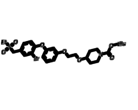 CCS(=O)(=O)Cc1ccc(Oc2cccc(OCCOC3CCN(C(=O)OC(C)(C)C)CC3)c2)c(Br)c1